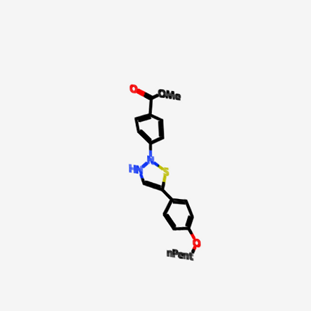 CCCCCOc1ccc(C2=CNN(c3ccc(C(=O)OC)cc3)S2)cc1